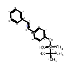 CC(C)(C)[Si](C)(C)Oc1[c]cc(/C=C/c2ccccc2)cc1